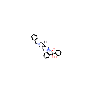 O=C(NC[C@@H]1[C@H]2CN(Cc3ccccc3)C[C@@H]12)C(O)(c1ccccc1)c1ccccc1